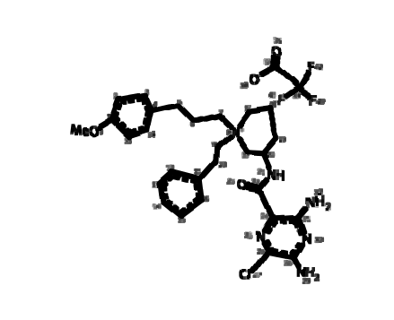 COc1ccc(CCC[N+]2(CCc3ccccc3)CCCC(NC(=O)c3nc(Cl)c(N)nc3N)C2)cc1.O=C([O-])C(F)(F)F